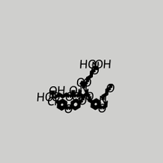 COCCCN1CCOc2ccc(COC3CN(C(=O)OCCCON(O)O)CC(OC(=O)OCCCON(O)O)C3OC3CCC(Oc4ccc(Cl)cc4)CC3)cc21